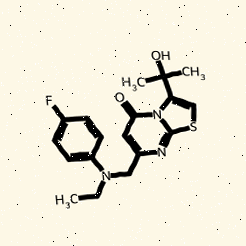 CCN(Cc1cc(=O)n2c(C(C)(C)O)csc2n1)c1ccc(F)cc1